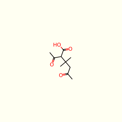 CC(=O)CC(C)(C)C(C(C)=O)C(=O)O